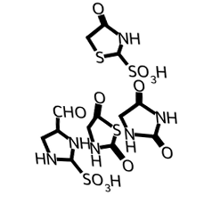 O=C1CNC(=O)N1.O=C1CNC(=O)S1.O=C1CSC(S(=O)(=O)O)N1.O=CC1CNC(S(=O)(=O)O)N1